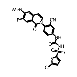 CNc1cc2ccn(-c3ccc(NC(=O)NS(=O)(=O)c4ccc(Cl)s4)cc3C#N)c(=O)c2cc1F